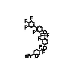 CCCC1CCC(C(F)(F)Oc2ccc(C(F)(F)Oc3ccc(-c4cc(F)c(F)c(F)c4)c(F)c3)c(F)c2)CO1